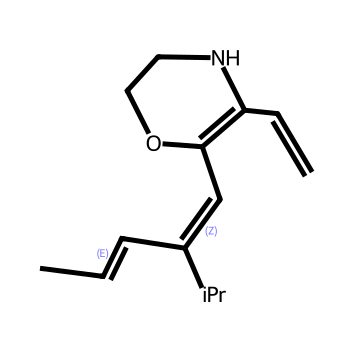 C=CC1=C(/C=C(\C=C\C)C(C)C)OCCN1